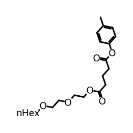 CCCCCCOCCOCCOC(=O)CCCC(=O)Oc1ccc(C)cc1